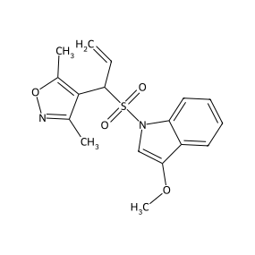 C=CC(c1c(C)noc1C)S(=O)(=O)n1cc(OC)c2ccccc21